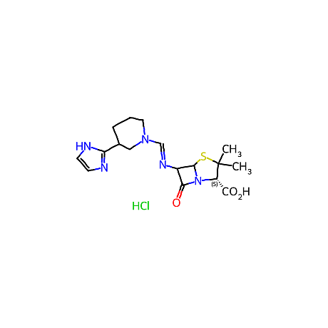 CC1(C)SC2C(N=CN3CCCC(c4ncc[nH]4)C3)C(=O)N2[C@H]1C(=O)O.Cl